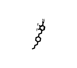 CCCCC1CCC(CCc2ccc(C#N)c(F)c2F)CC1